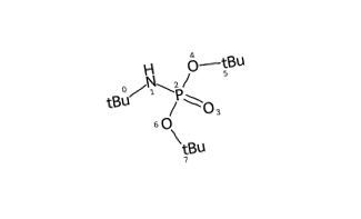 CC(C)(C)NP(=O)(OC(C)(C)C)OC(C)(C)C